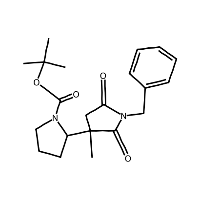 CC(C)(C)OC(=O)N1CCCC1C1(C)CC(=O)N(Cc2ccccc2)C1=O